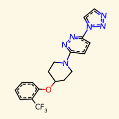 FC(F)(F)c1ccccc1OC1CCN(c2ccc(-n3ccnn3)nn2)CC1